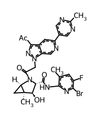 CC(=O)c1nn(CC(=O)N2[C@H](C(=O)Nc3nc(Br)c(F)cc3C)[C@@H](O)[C@@]3(C)C[C@@H]23)c2cnc(-c3cnc(C)nc3)cc12